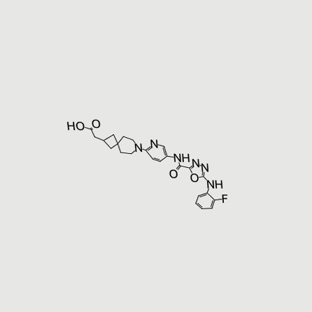 O=C(O)CC1CC2(CCN(c3ccc(NC(=O)c4nnc(Nc5ccccc5F)o4)cn3)CC2)C1